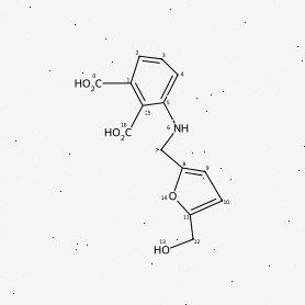 O=C(O)c1cccc(NCc2ccc(CO)o2)c1C(=O)O